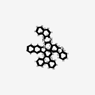 c1ccc2cc3c(cc2c1)c1c2c4ccccc4c4ccccc4c2ccc1n3-c1nc2c(ccc3ccccc32)nc1-c1ccc2c(c1)oc1ccccc12